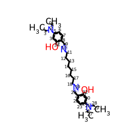 CCN(CC)c1ccc(/C=N/CCCCCCCC/N=C/c2ccc(N(CC)CC)cc2O)c(O)c1